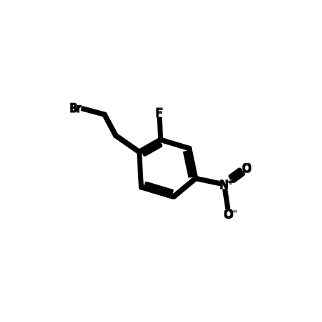 O=[N+]([O-])c1ccc(CCBr)c(F)c1